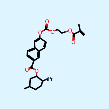 C=C(C)C(=O)OCCOC(=O)Oc1ccc2cc(C(=O)OC3CC(C)CCC3C(C)C)ccc2c1